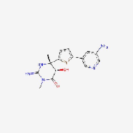 CN1C(=N)N[C@](C)(c2ccc(-c3cncc(N)c3)s2)[C@@H](O)C1=O